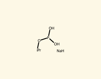 CC(C)OP(O)O.[NaH]